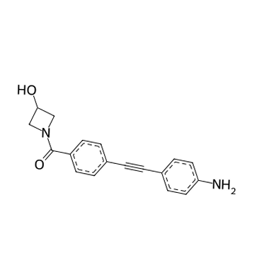 Nc1ccc(C#Cc2ccc(C(=O)N3CC(O)C3)cc2)cc1